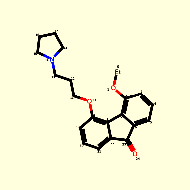 CCOc1cccc2c1-c1c(OCCCN3CCCC3)cccc1C2=O